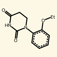 CCOc1ccccc1N1CCC(=O)NC1=O